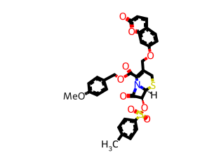 COc1ccc(COC(=O)C2=C(COc3ccc4ccc(=O)oc4c3)CS[C@H]3[C@@H](OS(=O)(=O)c4ccc(C)cc4)C(=O)N23)cc1